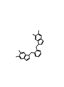 Cc1cc2c(cc1C)C(Cc1ccccc1CC1C=Cc3cc(C)c(C)cc31)C=C2